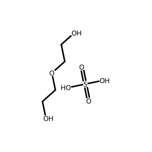 O=S(=O)(O)O.OCCOCCO